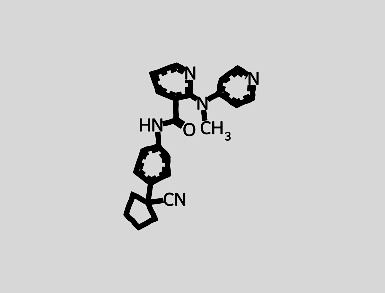 CN(c1ccncc1)c1ncccc1C(=O)Nc1ccc(C2(C#N)CCCC2)cc1